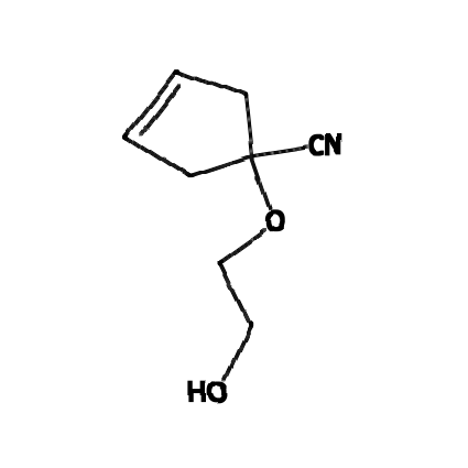 N#CC1(OCCO)CC=CC1